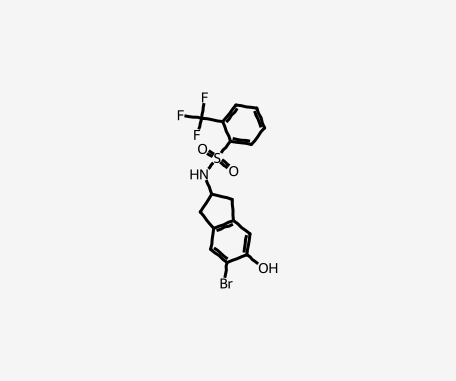 O=S(=O)(NC1Cc2cc(O)c(Br)cc2C1)c1ccccc1C(F)(F)F